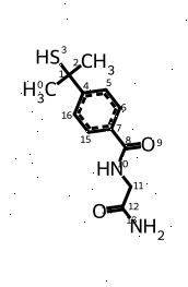 CC(C)(S)c1ccc(C(=O)NCC(N)=O)cc1